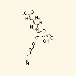 CC(=O)Nc1ncnc2c1ncn2[C@@H]1O[C@H](CO)C(O)C1OCOCOCCC#N